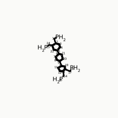 PCc1ccc(-c2ccc(-c3ccc(CP)c(CP)c3)cc2)cc1CP